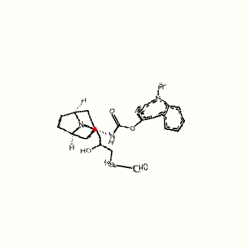 CC(C)n1nc(OC(=O)N[C@@H]2C[C@H]3CC[C@@H](C2)N3CC(O)CNC=O)c2ccccc21